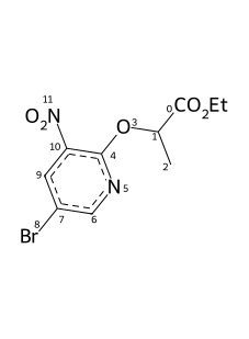 CCOC(=O)C(C)Oc1ncc(Br)cc1[N+](=O)[O-]